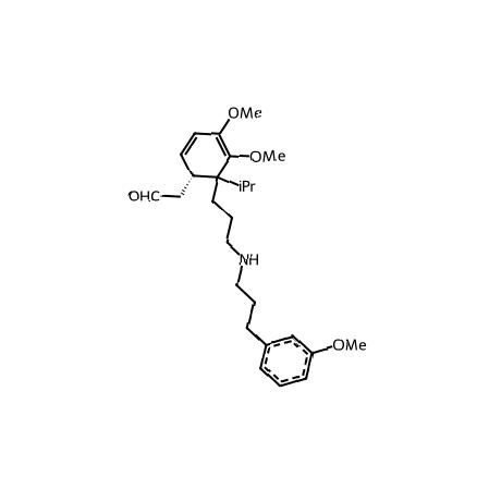 COC1=C(OC)C(CCCNCCCc2cccc(OC)c2)(C(C)C)[C@H](CC=O)C=C1